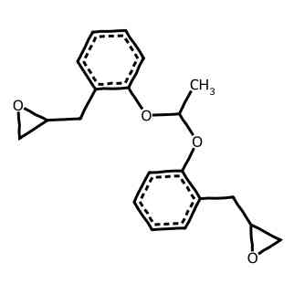 CC(Oc1ccccc1CC1CO1)Oc1ccccc1CC1CO1